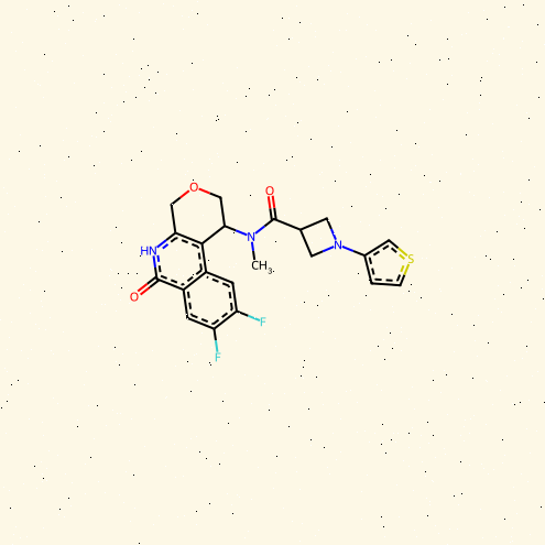 CN(C(=O)C1CN(c2ccsc2)C1)C1COCc2[nH]c(=O)c3cc(F)c(F)cc3c21